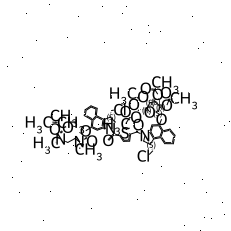 CC(=O)OC[C@H]1O[C@@H](Oc2cc3c(c4ccccc24)[C@H](CCl)CN3C(=O)c2ccc(C(=O)N3C[C@@H](CCl)c4c3cc(OC(=O)N(C)CCN(C)C(=O)OC(C)(C)C)c3ccccc43)s2)[C@H](OC(C)=O)[C@@H](OC(C)=O)[C@H]1OC(C)=O